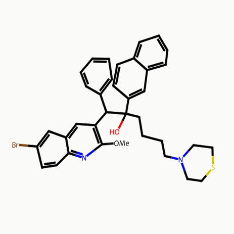 COc1nc2ccc(Br)cc2cc1C(c1ccccc1)C(O)(CCCCN1CCSCC1)c1ccc2ccccc2c1